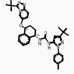 Cc1ccc(-n2nc(C(C)(C)C)cc2NC(=O)N[C@H]2CC[C@H](Oc3ccc4nnc(C(C)(C)C)n4c3)c3ccccc32)cc1